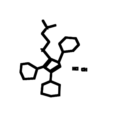 CN(C)C[CH2][Ti][C]1=C(C2CCCCC2)C(C2CCCCC2)=CC1C1CCCCC1.Cl.Cl